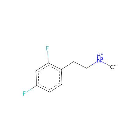 [CH2-][NH2+]CCc1ccc(F)cc1F